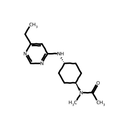 CCc1cc(N[C@H]2CC[C@H](N(C)C(C)=O)CC2)ncn1